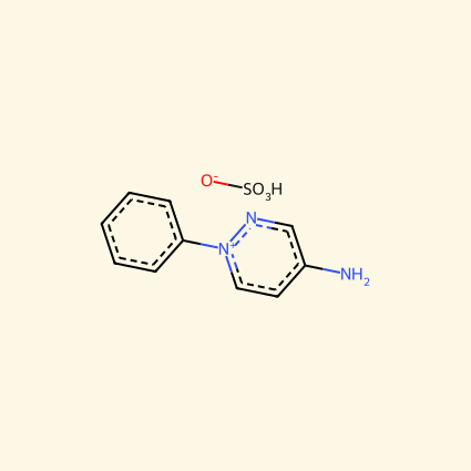 Nc1cc[n+](-c2ccccc2)nc1.O=S(=O)([O-])O